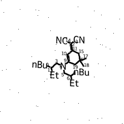 CCCCC(CC)CN(CC(CC)CCCC)C1=CC(=C(C#N)C#N)CC(C)(C)C1